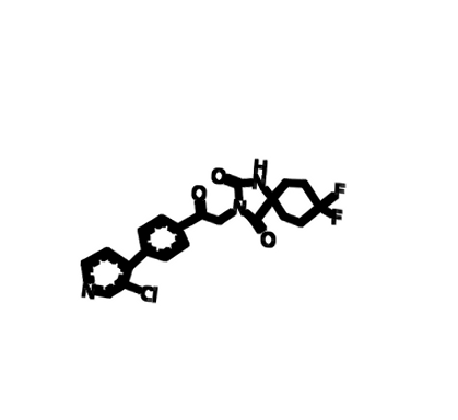 O=C(CN1C(=O)NC2(CCC(F)(F)CC2)C1=O)c1ccc(-c2ccncc2Cl)cc1